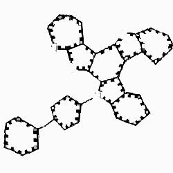 c1ccc(-c2ccc(-n3c4ccccc4c4c5c6ccccc6sc5c5c6cccnc6sc5c43)cc2)cc1